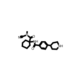 CN(C#N)C(=O)C1(NC(=O)c2ccc(C3CCNCC3)cc2)CCCCC1